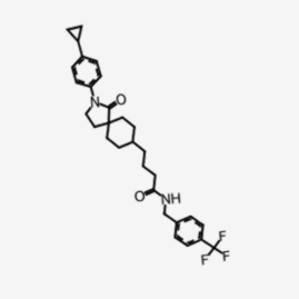 O=C(CCCC1CCC2(CC1)CCN(c1ccc(C3CC3)cc1)C2=O)NCc1ccc(C(F)(F)F)cc1